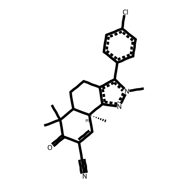 Cn1nc2c(c1-c1ccc(Cl)cc1)CCC1C(C)(C)C(=O)C(C#N)=C[C@]21C